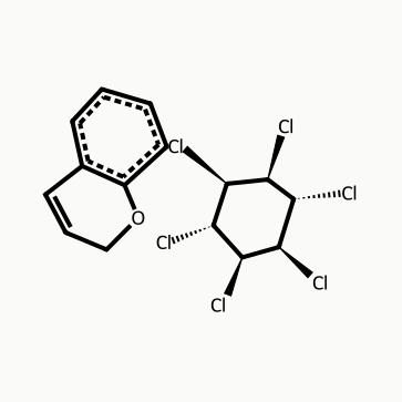 C1=Cc2ccccc2OC1.Cl[C@H]1[C@H](Cl)[C@@H](Cl)[C@@H](Cl)[C@H](Cl)[C@H]1Cl